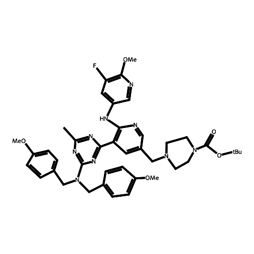 COc1ccc(CN(Cc2ccc(OC)cc2)c2nc(C)nc(-c3cc(CN4CCN(C(=O)OC(C)(C)C)CC4)cnc3Nc3cnc(OC)c(F)c3)n2)cc1